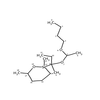 CCCCOC(C)OC(C)(CC)[Si]1(C)CCCC(C)O1